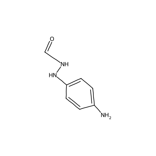 Nc1ccc(NNC=O)cc1